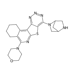 C1CCc2c(c(N3CCOCC3)nc3sc4c(N5CC6CC5CN6)nnnc4c23)C1